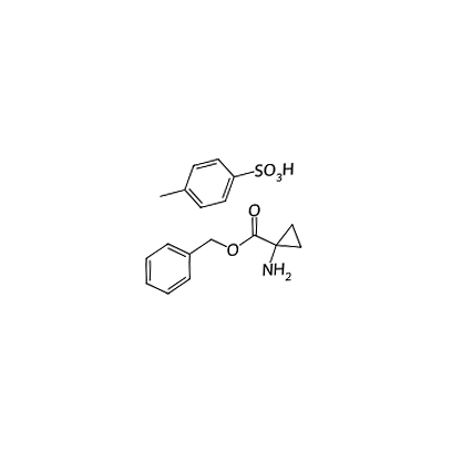 Cc1ccc(S(=O)(=O)O)cc1.NC1(C(=O)OCc2ccccc2)CC1